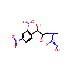 CN(CC(O)C(O)c1ccc([N+](=O)[O-])cc1[N+](=O)[O-])[N+]([O-])=NO